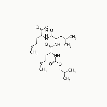 CSCCC(NC(=O)C(CC(C)C)NC(=O)C(CCSC)NC(=O)OCC(C)C)C(=O)O